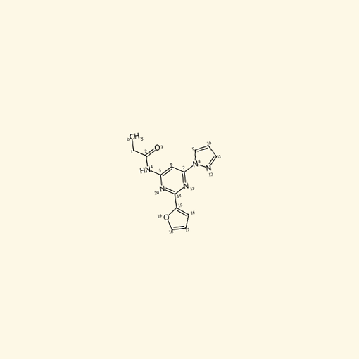 CCC(=O)Nc1cc(-n2cccn2)nc(-c2ccco2)n1